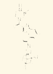 C[C@H]1CN(C(=O)c2cn3c(C(=O)NC[C@H]4CC[C@H]5C[C@@H]4C5(C)C)cccc3n2)CCN1